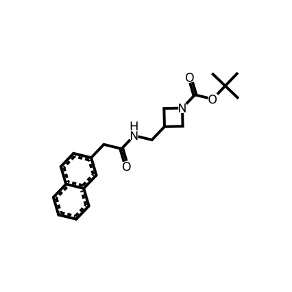 CC(C)(C)OC(=O)N1CC(CNC(=O)Cc2ccc3ccccc3c2)C1